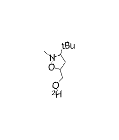 [2H]OCC1CC(C(C)(C)C)N(C)O1